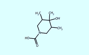 CC1CN(C(=O)O)CC(C)C1(C)O